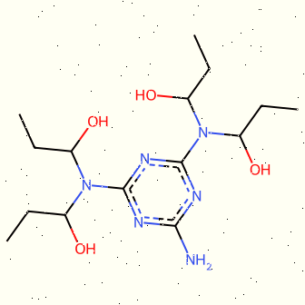 CCC(O)N(c1nc(N)nc(N(C(O)CC)C(O)CC)n1)C(O)CC